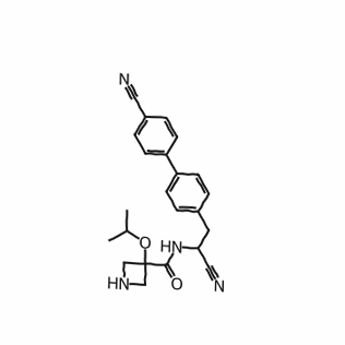 CC(C)OC1(C(=O)NC(C#N)Cc2ccc(-c3ccc(C#N)cc3)cc2)CNC1